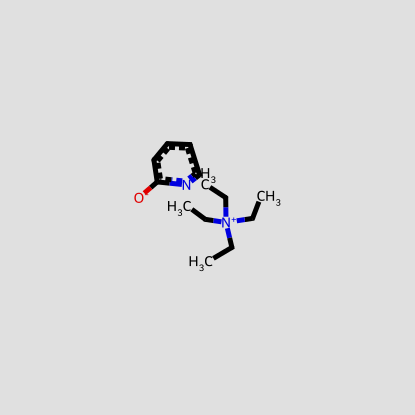 CC[N+](CC)(CC)CC.[O-]c1ccccn1